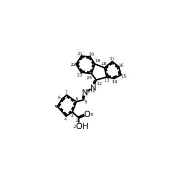 O=C(O)c1ccccc1/C=N/N=C1c2ccccc2-c2ccccc21